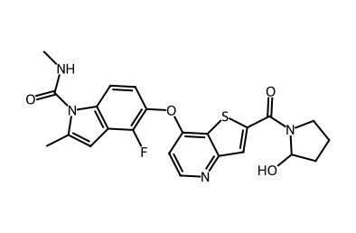 CNC(=O)n1c(C)cc2c(F)c(Oc3ccnc4cc(C(=O)N5CCCC5O)sc34)ccc21